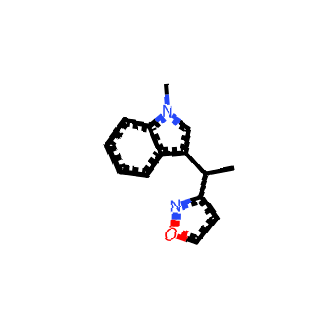 CC(c1ccon1)c1cn(C)c2ccccc12